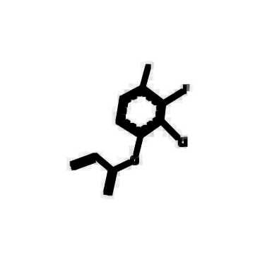 C=CC(=C)Oc1ccc(C)c(F)c1Cl